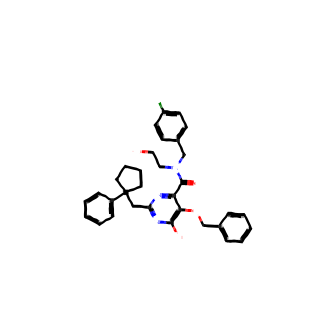 O=C(c1nc(CC2(c3ccccc3)CCCC2)nc(O)c1OCc1ccccc1)N(CCO)Cc1ccc(F)cc1